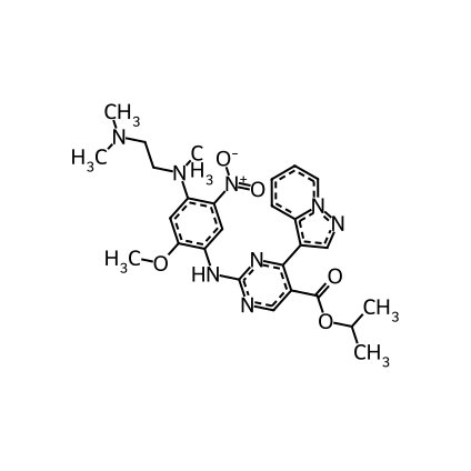 COc1cc(N(C)CCN(C)C)c([N+](=O)[O-])cc1Nc1ncc(C(=O)OC(C)C)c(-c2cnn3ccccc23)n1